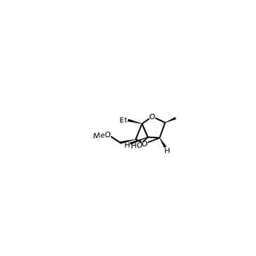 CC[C@]12O[C@@H](C)[C@H](O[C@H]1COC)[C@@H]2O